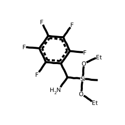 CCO[Si](C)(OCC)C(N)c1c(F)c(F)c(F)c(F)c1F